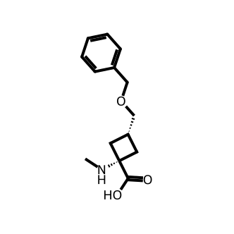 CN[C@]1(C(=O)O)C[C@H](COCc2ccccc2)C1